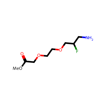 COC(=O)COCCOCC(F)CN